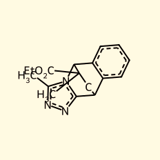 CCOC(=O)C1(C)CC2c3ccccc3C1n1c(C)nnc12